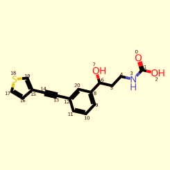 O=C(O)NCCC(O)c1cccc(C#Cc2ccsc2)c1